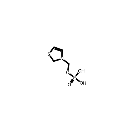 O=P(O)(O)OCN1C=CSC1